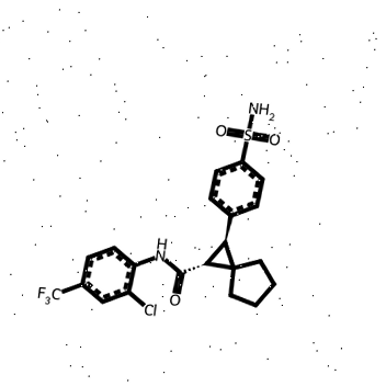 NS(=O)(=O)c1ccc([C@@H]2[C@@H](C(=O)Nc3ccc(C(F)(F)F)cc3Cl)C23CCCC3)cc1